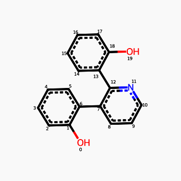 Oc1ccccc1-c1cccnc1-c1ccccc1O